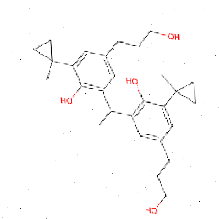 CC(c1cc(CCCO)cc(C2(C)CC2)c1O)c1cc(CCCO)cc(C2(C)CC2)c1O